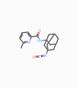 Cc1cccc(C(=O)NC23CC4CC(CC(N=C=O)(C4)C2)C3)n1